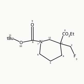 CCOC(=O)C1(CF)CCCN(C(=O)OC(C)(C)C)C1